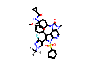 [2H]C([2H])([2H])n1cc(-c2c(-c3ccc(OC)cc3)c3c(ncc4c3n(C3CCC(C)(NC(=O)C5CC5)CC3)c(=O)n4C)n2S(=O)(=O)c2ccccc2)c(F)n1